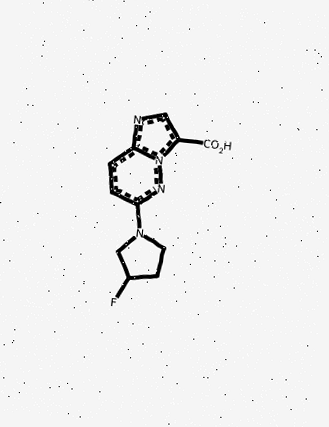 O=C(O)c1cnc2ccc(N3CCC(F)C3)nn12